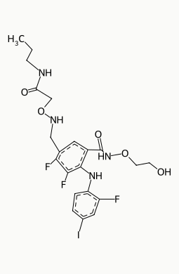 CCCNC(=O)CONCc1cc(C(=O)NOCCO)c(Nc2ccc(I)cc2F)c(F)c1F